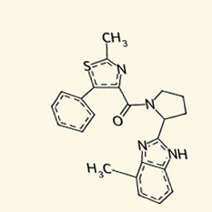 Cc1nc(C(=O)N2CCCC2c2nc3c(C)cccc3[nH]2)c(-c2ccccc2)s1